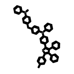 Cc1ccc(-c2sc(-c3ccc(N(c4ccccc4)c4ccc(Cc5ccc(N(C)c6ccccc6)cc5)cc4)cc3)c(-c3ccccc3)c2-c2ccccc2)cc1